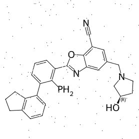 N#Cc1cc(CN2CC[C@@H](O)C2)cc2nc(-c3cccc(-c4cccc5c4CCC5)c3P)oc12